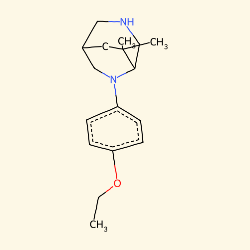 CCOc1ccc(N2CC3CNCC2C(C)(C)C3)cc1